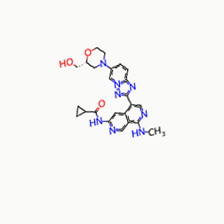 CNc1ncc(-c2nc3ccc(N4CCO[C@@H](CO)C4)cn3n2)c2cc(NC(=O)C3CC3)ncc12